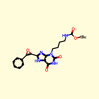 CC(C)(C)OC(=O)NCCCCn1c(=O)[nH]c(=O)c2[nH]c(C3=C(c4ccccc4)O3)nc21